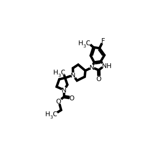 CCOC(=O)N1CCC(C)(N2CCC(n3c(=O)[nH]c4cc(F)c(C)cc43)CC2)C1